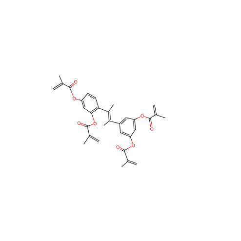 C=C(C)C(=O)Oc1cc(OC(=O)C(=C)C)cc(/C(C)=C(\C)c2ccc(OC(=O)C(=C)C)cc2OC(=O)C(=C)C)c1